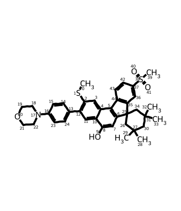 CSc1cc2c3c(cc(O)c2cc1-c1ccc(N2CCOCC2)cc1)C1(CC(C)(C)CC(C)(C)C1)c1cc(S(C)(=O)=O)ccc1-3